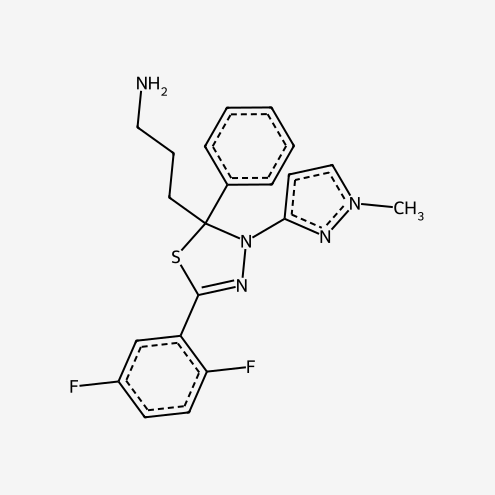 Cn1ccc(N2N=C(c3cc(F)ccc3F)SC2(CCCN)c2ccccc2)n1